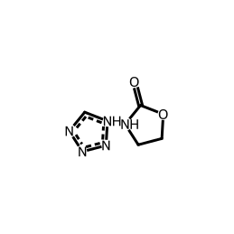 O=C1NCCO1.c1nnn[nH]1